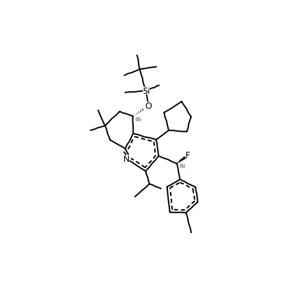 Cc1ccc([C@H](F)c2c(C(C)C)nc3c(c2C2CCCC2)[C@@H](O[Si](C)(C)C(C)(C)C)CC(C)(C)C3)cc1